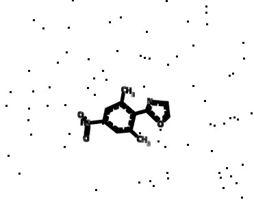 Cc1cc([SH](=O)=O)cc(C)c1-c1ncco1